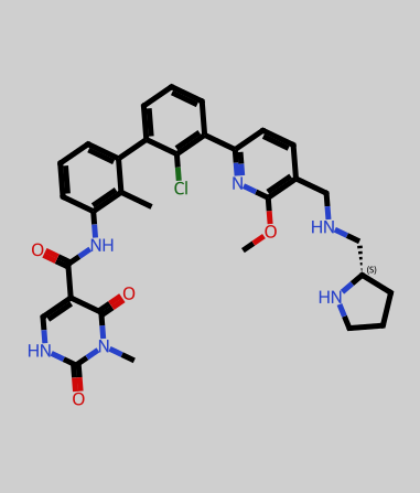 COc1nc(-c2cccc(-c3cccc(NC(=O)c4c[nH]c(=O)n(C)c4=O)c3C)c2Cl)ccc1CNC[C@@H]1CCCN1